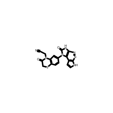 N#CCN1C(=O)CSc2ccc(-n3c(=O)[nH]c4nnc5[nH]ccc5c43)cc21